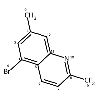 Cc1[c]c(Br)c2ccc(C(F)(F)F)nc2c1